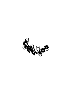 CC(CCNC(=O)c1ccc(-c2cccs2)cc1)CC(=O)N1CCC2C1C(=O)CN2C(=O)c1ccc(Cl)s1